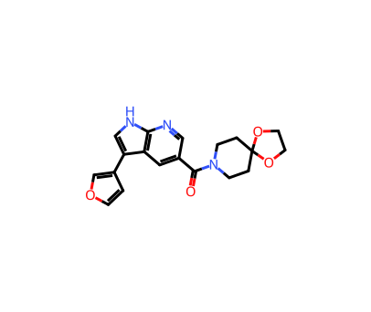 O=C(c1cnc2[nH]cc(-c3ccoc3)c2c1)N1CCC2(CC1)OCCO2